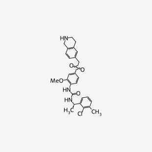 COc1cc(S(=O)(=O)Cc2ccc3c(c2)CCNC3)ccc1NC(=O)N[C@H](C)c1cccc(C)c1Cl